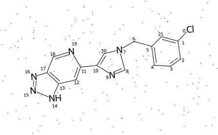 Clc1cccc(Cn2cnc(-c3cc4[nH]nnc4cn3)c2)c1